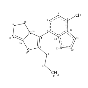 CCCC1=C(c2ccc(Cl)c3ccsc23)N2CCN=C2S1